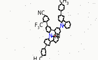 Cc1ccc(-c2ccc3c(c2)c2ccccc2n3-c2ccc(C#N)c(-c3cc(-c4ccc(C#N)cc4C(F)(F)F)ccc3-n3c4ccccc4c4cc(-c5ccc(C)cc5)ccc43)c2)cc1